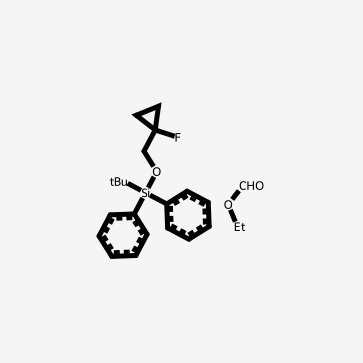 CC(C)(C)[Si](OCC1(F)CC1)(c1ccccc1)c1ccccc1.CCOC=O